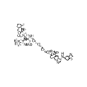 CN[C@@H](C)C(N)[C@@H](C(=O)N1C[C@@H](NCCOCCOCCOCCOCCOc2cc3nccc(Nc4ccc5scnc5c4)c3cc2S(=O)(=O)C(C)(C)C)C[C@H]1C(=O)Nc1c(F)cccc1F)C(C)(C)C